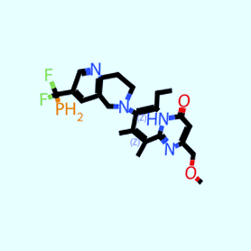 CC/C(C)=C(/C(C)=C(/C)c1nc(COC)cc(=O)[nH]1)N1CCc2ncc(C(F)(F)P)cc2C1